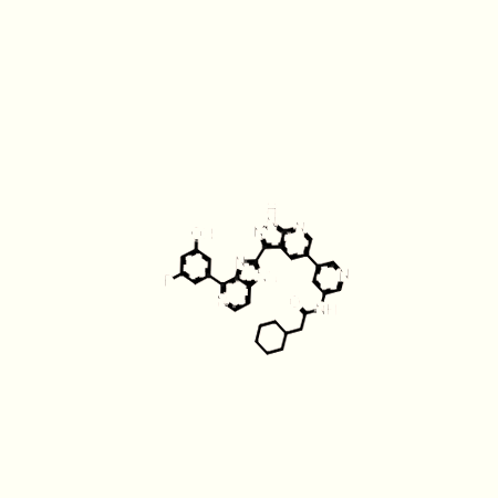 O=C(CC1CCCCC1)Nc1cncc(-c2cnc3[nH]nc(-c4nc5c(-c6cc(O)cc(F)c6)nccc5[nH]4)c3c2)c1